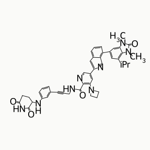 CC(C)c1cc(-c2cccc3cc(-c4cnc(C(=O)NCC#Cc5cccc(NC6CCC(=O)NC6=O)c5)c(N5CCC5)c4)ncc23)cc2c1n(C)c(=O)n2C